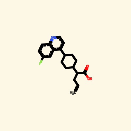 C=CCC(C(=O)O)C1CCC(c2ccnc3ccc(F)cc23)CC1